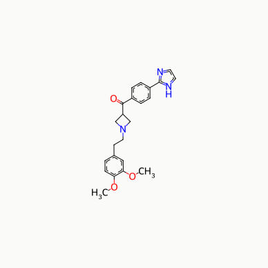 COc1ccc(CCN2CC(C(=O)c3ccc(-c4ncc[nH]4)cc3)C2)cc1OC